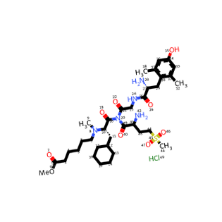 COC(=O)CCCCCN(C)[C@@H](CC1CCCCC1)C(=O)N(C(=O)CNC(=O)[C@H](N)Cc1c(C)cc(O)cc1C)C(=O)C(N)CCS(C)(=O)=O.Cl